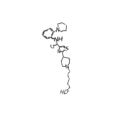 O=C(Nc1ccccc1N1CCCCC1)c1csc(C2CCN(CCCCCO)CC2)n1